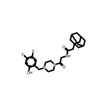 O=C(CC12CC3CC(CC(C3)C1)C2)NCC(=O)N1CCN(Cc2cc(F)c(F)cc2O)CC1